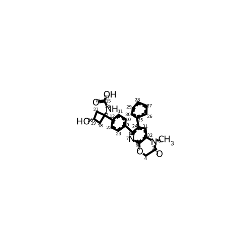 CN1C(=O)COc2nc(-c3ccc([C@]4(NC(=O)O)C[C@H](O)C4)cc3)c(-c3ccccc3)cc21